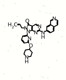 C=CCn1c(=O)c2cnc(Nc3ccc4ccncc4c3)nc2n1-c1cccc(OC2CCNCC2)n1